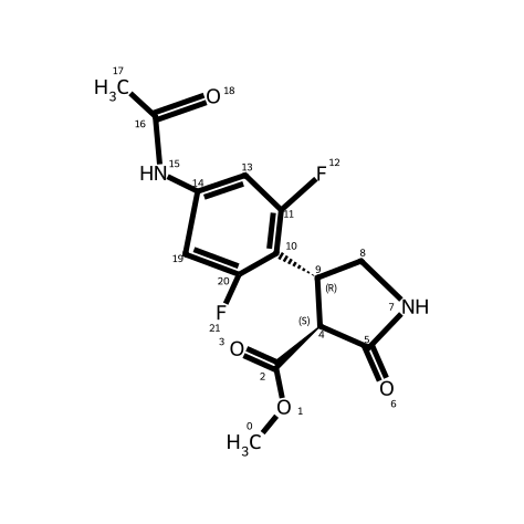 COC(=O)[C@@H]1C(=O)NC[C@H]1c1c(F)cc(NC(C)=O)cc1F